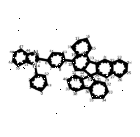 c1ccc(-n2c(-c3ccc(-c4cc5c(c6ccccc46)-c4cc6ccccc6cc4C54c5ccccc5-c5ccccc54)cc3)nc3ccccc32)cc1